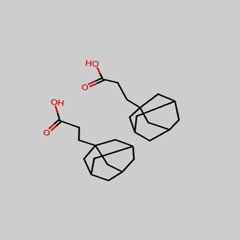 O=C(O)CCC12CC3CC(CC(C3)C1)C2.O=C(O)CCC12CC3CC(CC(C3)C1)C2